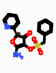 NC1=C(OS(=O)(=O)Cc2ccccc2)C(=O)[C@@H](c2ccccn2)O1